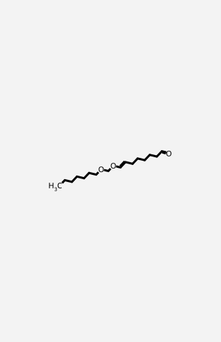 CCCCCCCOCOC=CCCCCCC=O